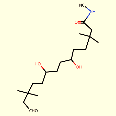 CC(C)(CC=O)CCC(O)CCC(O)CCC(C)(C)CC(=O)NC#N